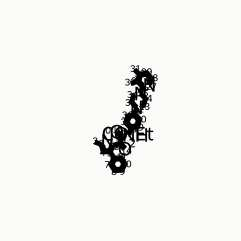 CCOC(=O)n1c(C)cc(-c2ccccc2)c1C(=O)C(=O)Nc1ccc(N2CCN(c3nccc(C)c3C)CC2)cc1